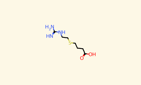 N=C(N)NCCSCCCC(=O)O